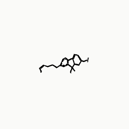 C/C=C\CCCc1ccc2c(c1)C(C)(C)C1CC(I)=CC=C21